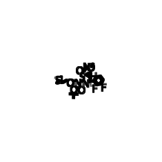 CON(C)C(=O)[C@]12C[C@H]1[C@@](C)(c1cccc(F)c1F)N=C(N(COCC[Si](C)(C)C)C(=O)OC(C)(C)C)S2